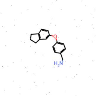 NCc1ccc(Oc2ccc3c(c2)CCC3)cc1